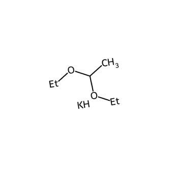 CCOC(C)OCC.[KH]